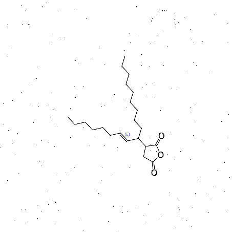 CCCCCC/C=C/C(CCCCCCCCC)C1CC(=O)OC1=O